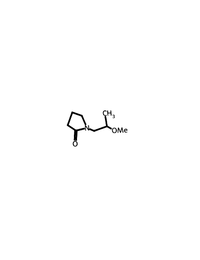 COC(C)CN1CCCC1=O